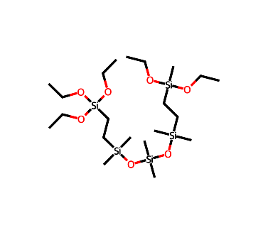 CCO[Si](C)(CC[Si](C)(C)O[Si](C)(C)O[Si](C)(C)CC[Si](OCC)(OCC)OCC)OCC